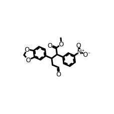 COC(=O)C(c1cccc([N+](=O)[O-])c1)C(CC=O)c1ccc2c(c1)OCO2